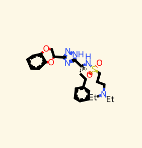 CCN(CC)CCCS(=O)(=O)N[C@H](CCc1ccccc1)c1nc(C2COc3ccccc3O2)n[nH]1